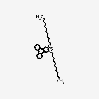 CCCCCCCCCCCCOOOCCCCCCCCCCCC.c1ccc2c(c1)c1ccccc1c1ccccc21